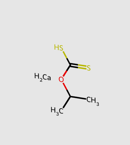 CC(C)OC(=S)S.[CaH2]